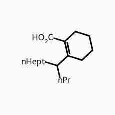 CCCCCCCC(CCC)C1=C(C(=O)O)CCCC1